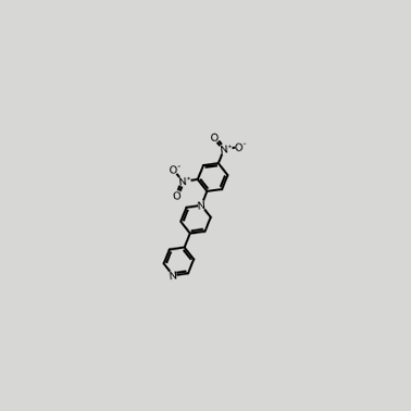 O=[N+]([O-])c1ccc(N2C=CC(c3ccncc3)=CC2)c([N+](=O)[O-])c1